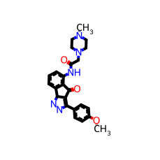 COc1ccc(C2=C3C(=O)c4c(NC(=O)CN5CCN(C)CC5)cccc4C3N=N2)cc1